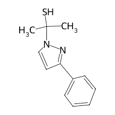 CC(C)(S)n1ccc(-c2ccccc2)n1